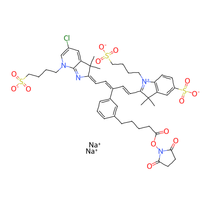 CC1(C)C2=CC(Cl)=CN(CCCCS(=O)(=O)[O-])C2=N/C1=C/C=C(/C=C/C1=[N+](CCCCS(=O)(=O)[O-])c2ccc(S(=O)(=O)[O-])cc2C1(C)C)c1cccc(CCCCC(=O)ON2C(=O)CCC2=O)c1.[Na+].[Na+]